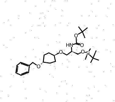 CC(C)(C)OC(=O)N[C@@H](CO[Si](C)(C)C(C)(C)C)CO[C@H]1CC[C@H](OCc2ccccc2)CC1